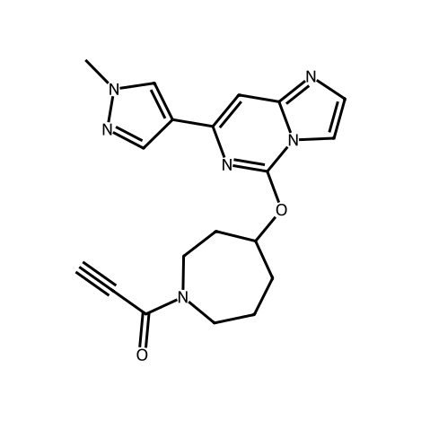 C#CC(=O)N1CCCC(Oc2nc(-c3cnn(C)c3)cc3nccn23)CC1